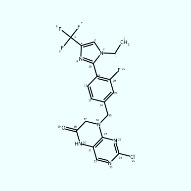 CCn1cc(C(F)(F)F)nc1-c1ccc(CN2CC(=O)Nc3cnc(Cl)nc32)cc1F